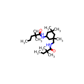 CCCC(C)(C)C(=O)NC1CC(C)(C)CC(C)(CNC(=O)C(C)(C)CC)C1